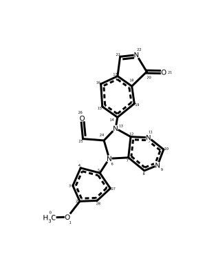 COc1ccc(N2c3cncnc3N(c3ccc4c(c3)C(=O)N=C4)C2C=O)cc1